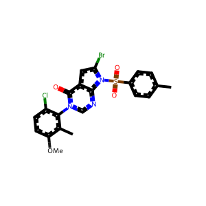 COc1ccc(Cl)c(-n2cnc3c(cc(Br)n3S(=O)(=O)c3ccc(C)cc3)c2=O)c1C